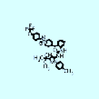 Cc1ccc(-n2nc(C(C)(C)C)cc2NC(=O)Nc2ccccc2CC2CCN(S(=O)(=O)c3ccc(OC(F)(F)F)cc3)CC2)cc1